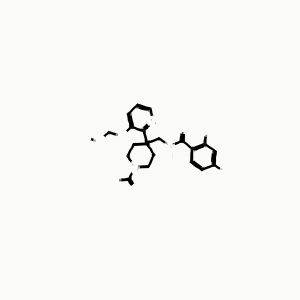 COCOc1cccnc1C1(CNC(=O)c2ccc(Cl)cc2Cl)CCN(C(=O)O)CC1